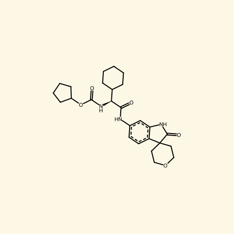 O=C(N[C@H](C(=O)Nc1ccc2c(c1)NC(=O)C21CCOCC1)C1CCCCC1)OC1CCCC1